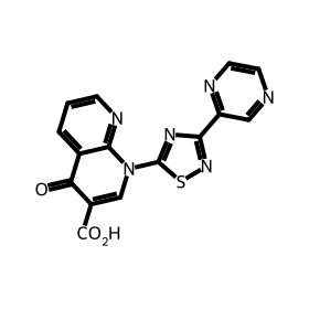 O=C(O)c1cn(-c2nc(-c3cnccn3)ns2)c2ncccc2c1=O